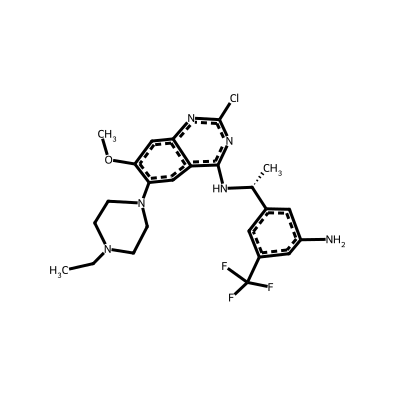 CCN1CCN(c2cc3c(N[C@H](C)c4cc(N)cc(C(F)(F)F)c4)nc(Cl)nc3cc2OC)CC1